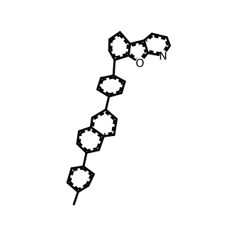 Cc1ccc(-c2ccc3cc(-c4ccc(-c5cccc6c5oc5ncccc56)cc4)ccc3c2)cc1